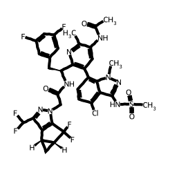 CC(=O)Nc1cc(-c2ccc(Cl)c3c(NS(C)(=O)=O)nn(C)c23)c([C@H](Cc2cc(F)cc(F)c2)NC(=O)Cn2nc(C(F)F)c3c2C(F)(F)[C@@H]2C[C@H]32)nc1C